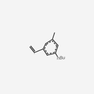 C=[C]c1cc(C)cc(CCCC)c1